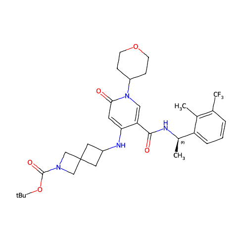 Cc1c([C@@H](C)NC(=O)c2cn(C3CCOCC3)c(=O)cc2NC2CC3(C2)CN(C(=O)OC(C)(C)C)C3)cccc1C(F)(F)F